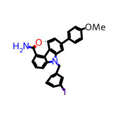 COc1ccc(-c2c[c]c3c4c(C(N)=O)cccc4n(Cc4cccc(I)c4)c3c2)cc1